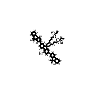 C=CC(=O)OCCCCCC1(CCCCCOC(=O)C=C)c2cc(-c3ccc4c(c3)C(C)(C)c3ccccc3-4)ccc2-c2c(Br)cc(-c3ccc4c(c3)C(C)(C)c3ccccc3-4)cc21